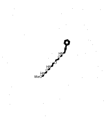 COCNCOCNCCOCCOCNCC#Cc1ccccc1